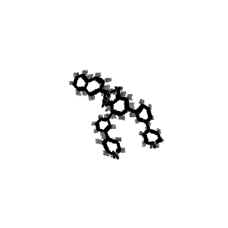 c1cc(-c2ccncc2)cc(-c2cc(-c3cccc(-c4ccncc4)c3)c3nn(-c4ccc5ccccc5c4)nc3c2)c1